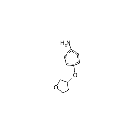 Nc1ccc(O[C@@H]2CCOC2)cc1